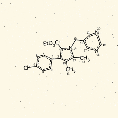 CCOC(=O)c1c(-c2ccc(Cl)cc2)c(C)c(C)n1Cc1cncnc1